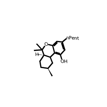 CCCCCc1cc(O)c2c(c1)OC(C)(C)[C@@H]1CC[C@H](C)CC21